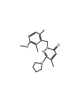 COc1ccc(C)c(Cn2nc(N3CCCC3)c(C)cc2=O)c1C